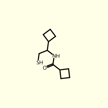 O=C(NC(CS)C1CCC1)C1CCC1